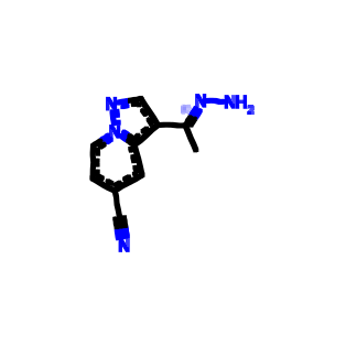 C/C(=N\N)c1cnn2ccc(C#N)cc12